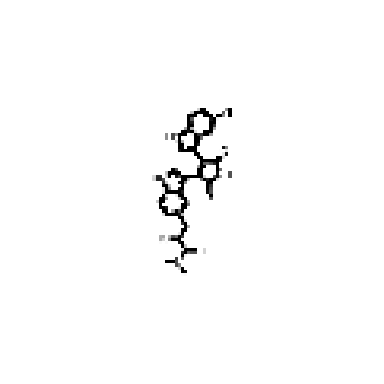 CN(C)C(Cl)C(O)Cc1ccc2[nH]cc(C3=C(c4c[nH]c5ccc(Cl)cc45)C(=O)NC3=O)c2c1